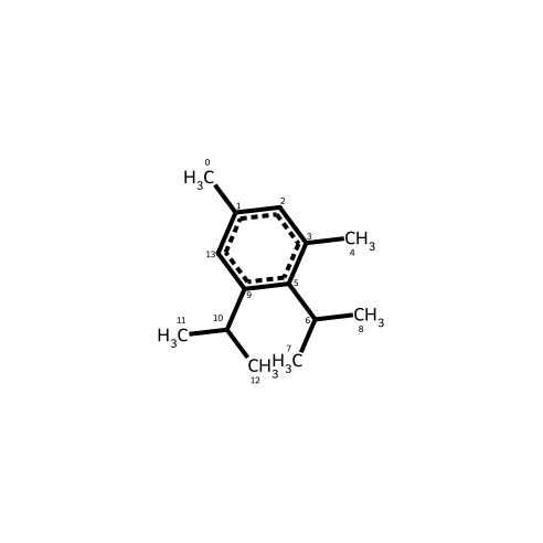 Cc1cc(C)c(C(C)C)c(C(C)C)c1